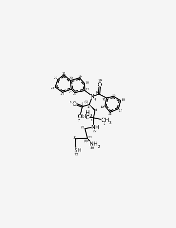 CC(C)(C[C@@H](C(=O)O)N(C(=O)c1ccccc1)c1ccc2ccccc2c1)NC[C@@H](N)CS